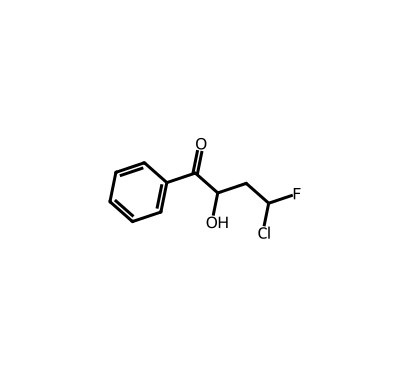 O=C(c1ccccc1)C(O)CC(F)Cl